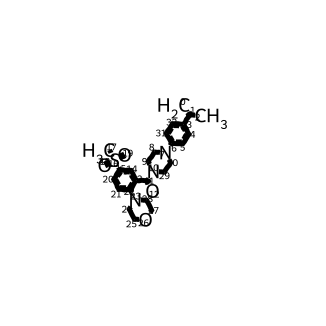 C=C(C)c1ccc(N2CCN(C(=O)c3cc(S(C)(=O)=O)ccc3N3CCOCC3)CC2)cc1